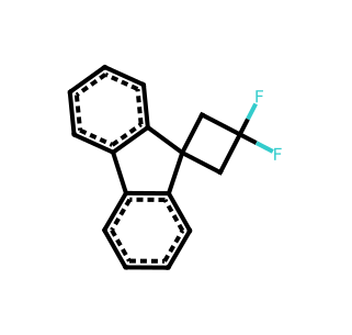 FC1(F)CC2(C1)c1ccccc1-c1ccccc12